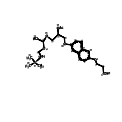 CCCCCCCCCCCCOc1ccc2cc(OCC(COC(O)OCP[N+](C)(C)C)OC(C)=O)ccc2c1